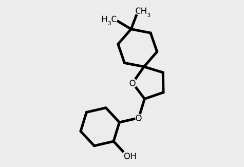 CC1(C)CCC2(CCC(OC3CCCCC3O)O2)CC1